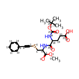 COC(=O)C(CSC#Cc1ccccc1)NC(=O)C(CCC(=O)O)NC(=O)OC(C)(C)C